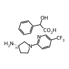 N[C@H]1CCN(c2ccc(C(F)(F)F)cn2)C1.O=C(O)C(O)c1ccccc1